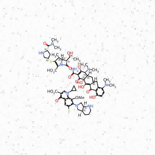 CN(C)c1ccc(O)c2c1C[C@H]1C[C@H]3[C@H](N(C)C)C(O)=C(C(N)=O)C(=O)[C@@]3(O)C(O)=C1C2=O.COc1c(N2C[C@@H]3CCCN[C@@H]3C2)c(F)cc2c(=O)c(C(=O)O)cn(C3CC3)c12.C[C@@H](O)[C@H]1C(=O)N2C(C(=O)O)=C(S[C@@H]3CN[C@H](C(=O)N(C)C)C3)[C@H](C)[C@H]12